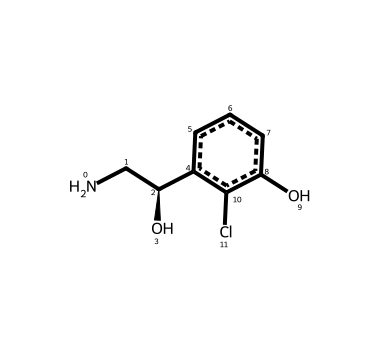 NC[C@H](O)c1cccc(O)c1Cl